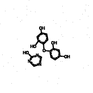 Oc1ccc(Oc2ccc(O)cc2O)c(O)c1.Oc1ncncn1